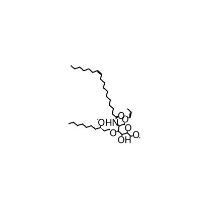 C/C=C\OC1OC(COC)C(O)C(OCC[C@@H](CCCCCCC)OC)C1NC(=O)CCCCCCCCC/C=C\CCCCCC